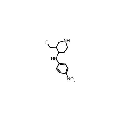 O=[N+]([O-])c1ccc(NC2CCNCC2CF)cc1